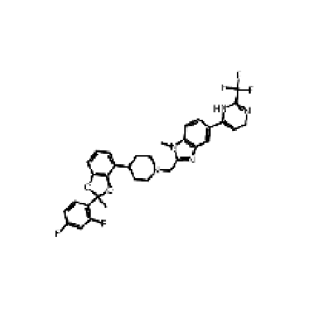 Cn1c(CN2CCC(c3cccc4c3OC(C)(c3ccc(F)cc3F)O4)CC2)nc2cc(C3=CCN=C(C(F)(F)F)N3)ccc21